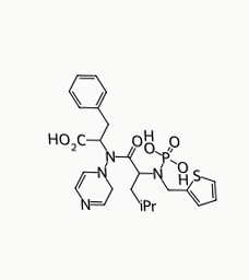 CC(C)CC(C(=O)N(C(Cc1ccccc1)C(=O)O)N1C=CN=CC1)N(Cc1cccs1)P(=O)(O)O